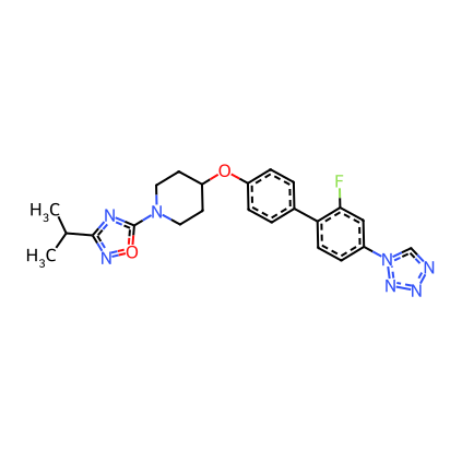 CC(C)c1noc(N2CCC(Oc3ccc(-c4ccc(-n5cnnn5)cc4F)cc3)CC2)n1